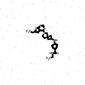 O=C(NCC(F)(F)F)c1ccc(NC2CC3(CCN(c4ncnc5sc(CC(F)(F)F)cc45)C3)C2)cc1